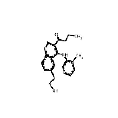 CCCC(=O)c1cnc2ccc(CCO)cc2c1Nc1ccccc1C